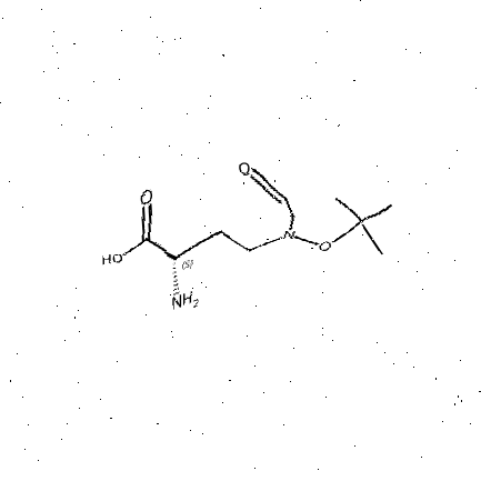 CC(C)(C)ON(C=O)CC[C@H](N)C(=O)O